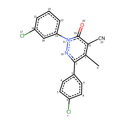 Cc1c(-c2ccc(Cl)cc2)nn(-c2cccc(Cl)c2)c(=O)c1C#N